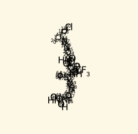 CC1(C)CCC(c2ccc(Cl)cc2)=C(CN2CCN(c3ccc(C(=O)NS(=O)(=O)c4ccc(N[C@H](CCN5CCN(Cc6ccc(NC7CCC(=O)NC7=O)c(F)c6)CC5)CSc5ccccc5)c(S(=O)(=O)C(F)(F)F)c4)cc3)CC2)C1